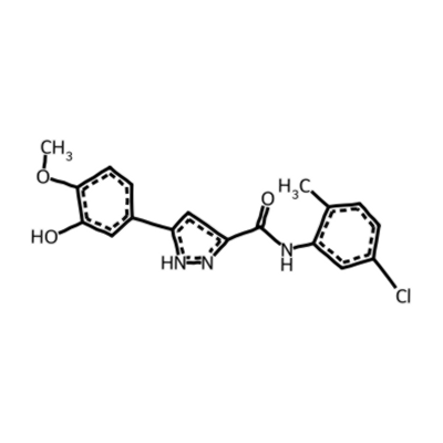 COc1ccc(-c2cc(C(=O)Nc3cc(Cl)ccc3C)n[nH]2)cc1O